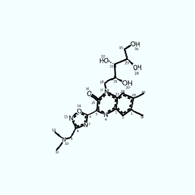 Cc1cc2nc(-c3nc(CN(C)C)no3)c(=O)n(C[C@H](O)[C@H](O)[C@H](O)CO)c2cc1C